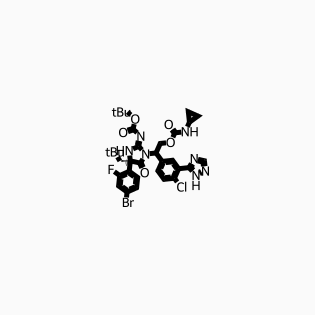 CC(C)(C)C[C@]1(c2ccc(Br)cc2F)NC(=NC(=O)OC(C)(C)C)N(C(COC(=O)NC2CC2)c2ccc(Cl)c(-c3ncn[nH]3)c2)C1=O